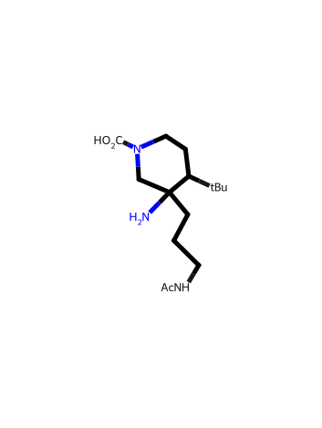 CC(=O)NCCCC1(N)CN(C(=O)O)CCC1C(C)(C)C